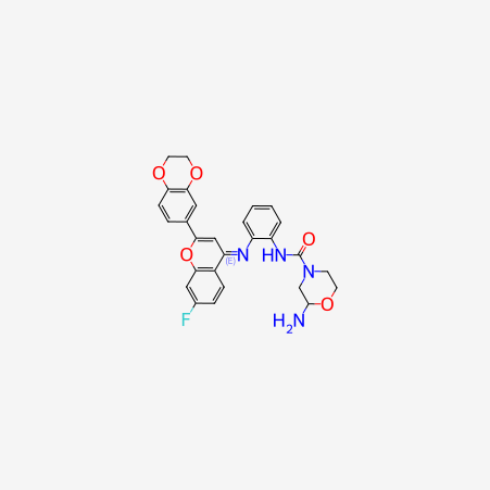 NC1CN(C(=O)Nc2ccccc2/N=c2\cc(-c3ccc4c(c3)OCCO4)oc3cc(F)ccc23)CCO1